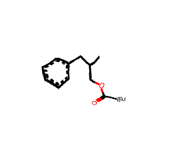 CCC(C)C(=O)OCC(C)Cc1ccccc1